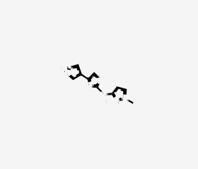 Cn1ccc(Nc2nc(-c3cn[nH]c3)cs2)n1